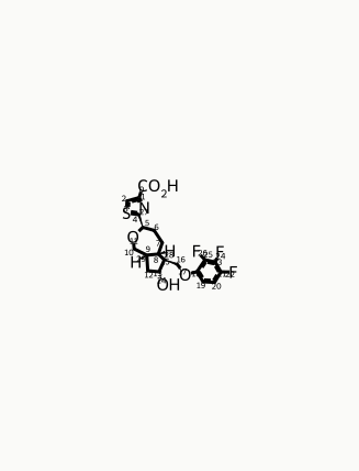 O=C(O)c1csc([C@H]2CC[C@H]3[C@@H](CO2)C[C@@H](O)[C@@H]3COc2ccc(F)c(F)c2F)n1